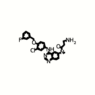 CN(C(=O)CCN)c1ccc2ncnc(Nc3ccc(OCc4cccc(F)c4)c(Cl)c3)c2c1